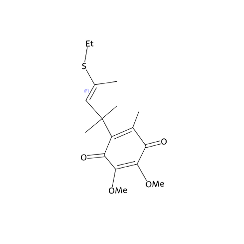 CCS/C(C)=C/C(C)(C)C1=C(C)C(=O)C(OC)=C(OC)C1=O